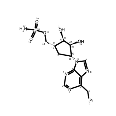 CC(C)Cc1ncnc2c1ncn2[C@@H]1C[C@H](COS(N)(=O)=O)[C@@H](O)[C@H]1O